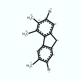 Cc1cc2c(cc1Br)Cc1cc(Br)c(C)c(C)c1-2